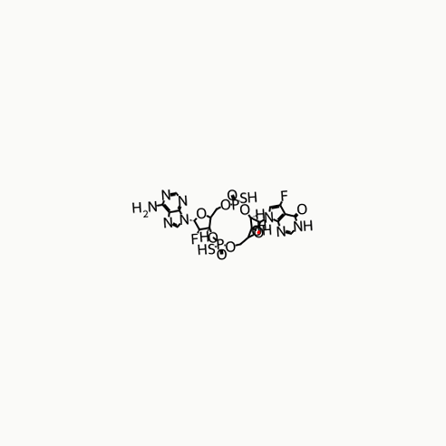 Nc1ncnc2c1ncn2[C@@H]1OC2CO[P@@](=O)(S)O[C@H]3C(n4cc(F)c5c(=O)[nH]cnc54)OC(CO[P@@](=O)(S)O[C@H]2[C@H]1F)[C@H]3O